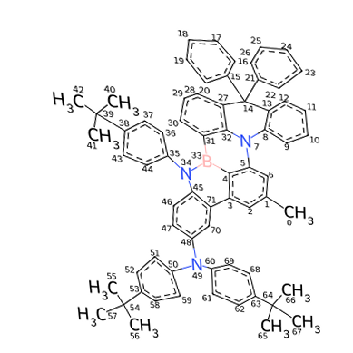 Cc1cc2c3c(c1)N1c4ccccc4C(c4ccccc4)(c4ccccc4)c4cccc(c41)B3N(c1ccc(C(C)(C)C)cc1)c1ccc(N(c3ccc(C(C)(C)C)cc3)c3ccc(C(C)(C)C)cc3)cc1-2